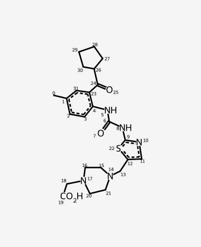 Cc1ccc(NC(=O)Nc2ncc(CN3CCN(CC(=O)O)CC3)s2)c(C(=O)C2CCCC2)c1